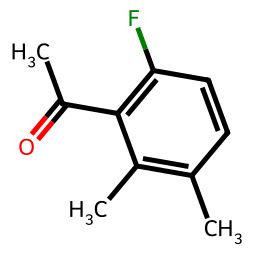 CC(=O)c1c(F)ccc(C)c1C